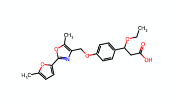 CCOC(CC(=O)O)c1ccc(OCc2nc(-c3ccc(C)o3)oc2C)cc1